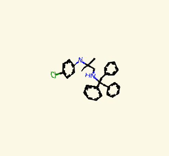 CC(C)(CNC(c1ccccc1)(c1ccccc1)c1ccccc1)[N]c1ccc(Cl)cc1